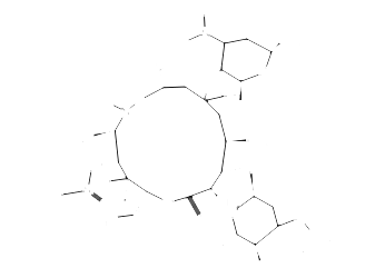 CC[C@H]1OC(=O)[C@H](C)[C@@H](O[C@H]2C[C@@](C)(OC)[C@@H](O)[C@H](C)O2)[C@H](C)[C@@H](O[C@@H]2O[C@H](C)CC(N(C)C)[C@H]2O)[C@](C)(O)C[C@@H](C)CN(C)[C@H](C)[C@@H](O[N+](=O)[O-])[C@]1(C)O